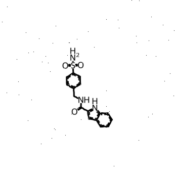 NS(=O)(=O)c1ccc(CNC(=O)c2cc3ccccc3[nH]2)cc1